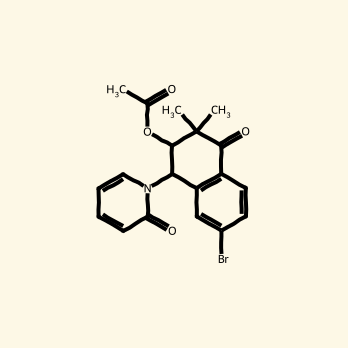 CC(=O)OC1C(n2ccccc2=O)c2cc(Br)ccc2C(=O)C1(C)C